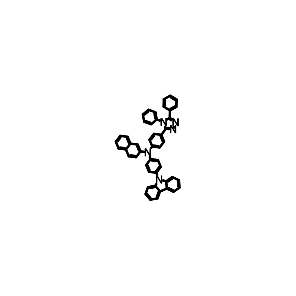 c1ccc(-c2nnc(-c3ccc(N(c4ccc(-n5c6ccccc6c6ccccc65)cc4)c4ccc5ccccc5c4)cc3)n2-c2ccccc2)cc1